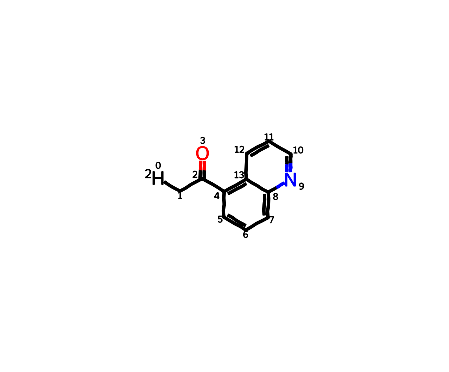 [2H]CC(=O)c1cccc2ncccc12